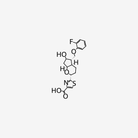 O=C(O)c1csc([C@H]2CC[C@@H]3[C@@H](COc4ccccc4F)[C@H](O)C[C@@H]3O2)n1